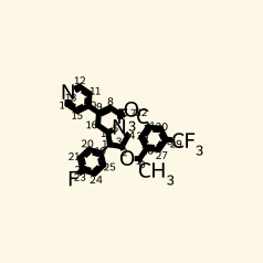 C[C@@H](OC1CN2C(=O)C=C(c3ccncc3)CC2[C@@H]1c1ccc(F)cc1)c1cc(C(F)(F)F)cc(C(F)(F)F)c1